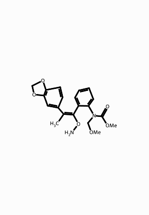 COCN(C(=O)OC)c1ccccc1/C(ON)=C(/C)c1ccc2c(c1)OCO2